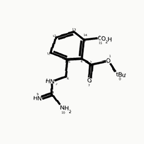 CC(C)(C)OC(=O)c1c(CNC(=N)N)cccc1C(=O)O